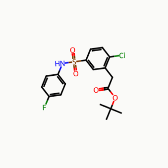 CC(C)(C)OC(=O)Cc1cc(S(=O)(=O)Nc2ccc(F)cc2)ccc1Cl